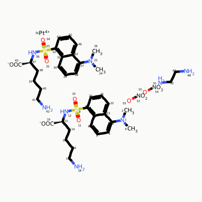 CN(C)c1cccc2c(S(=O)(=O)N[C@@H](CCCCN)C(=O)[O-])cccc12.CN(C)c1cccc2c(S(=O)(=O)N[C@@H](CCCCN)C(=O)[O-])cccc12.NCCN.O=[N+]([O-])[O-].O=[N+]([O-])[O-].[Pt+4]